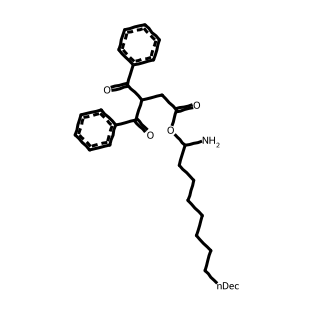 CCCCCCCCCCCCCCCCCC(N)OC(=O)CC(C(=O)c1ccccc1)C(=O)c1ccccc1